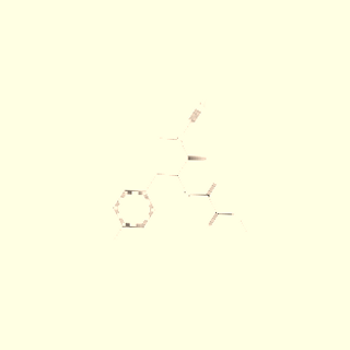 COC(=O)C(=O)NC(Cc1ccc(O)cc1)C(=O)N(C)C#N